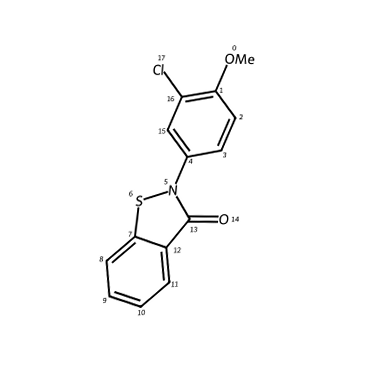 COc1ccc(-n2sc3ccccc3c2=O)cc1Cl